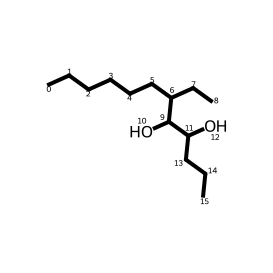 CCCCCCC(CC)C(O)C(O)CCC